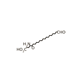 N[C@@H](CCC(=O)O)C(=O)CCCCCCCCCCCCCCC[C]=O